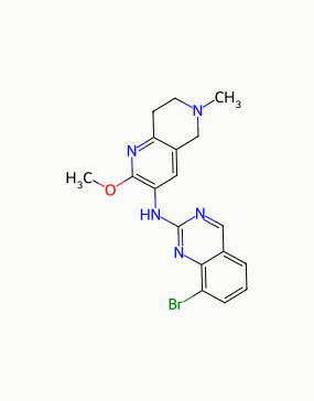 COc1nc2c(cc1Nc1ncc3cccc(Br)c3n1)CN(C)CC2